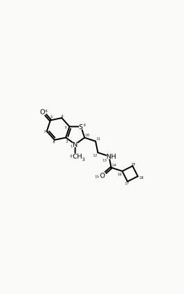 CN1C2=C(CC(=O)C=C2)SC1CCNC(=O)C1CCC1